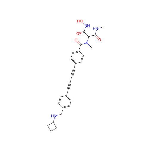 CNC(=O)C(C(=O)NO)N(C)C(=O)c1ccc(C#CC#Cc2ccc(CNC3CCC3)cc2)cc1